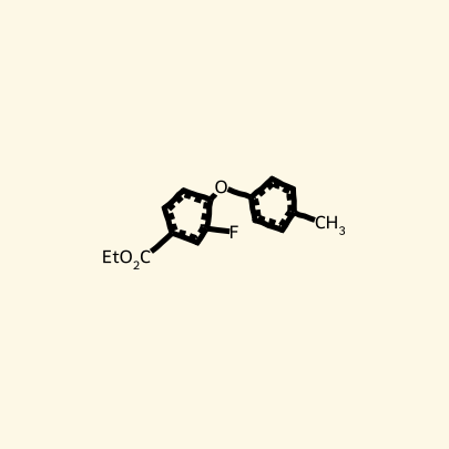 CCOC(=O)c1ccc(Oc2ccc(C)cc2)c(F)c1